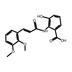 COc1cccc(C=CC(=O)Nc2c(O)cccc2C(=O)O)c1OC